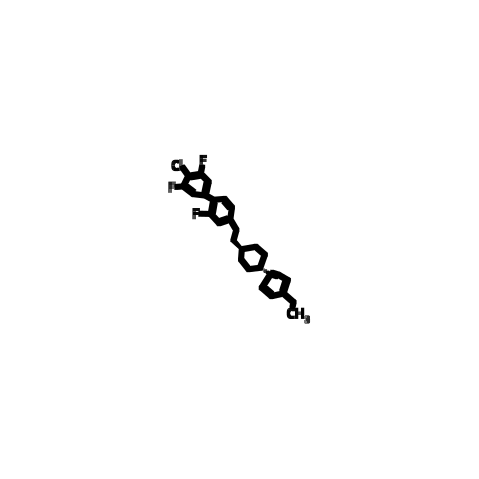 CCc1ccc([C@H]2CC[C@H](CCc3ccc(-c4cc(F)c(Cl)c(F)c4)c(F)c3)CC2)cc1